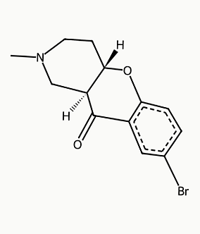 CN1CC[C@@H]2Oc3ccc(Br)cc3C(=O)[C@H]2C1